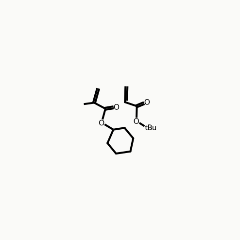 C=C(C)C(=O)OC1CCCCC1.C=CC(=O)OC(C)(C)C